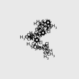 CC(C)Oc1cc(-n2nc(C(C)(C)C)oc2=O)c(Cl)cc1Cl.CC1COc2ccccc2N1C(=O)C(Cl)Cl.CCNc1nc(Cl)nc(NC(C)C)n1.CCc1cccc(C)c1N(C(=O)CCl)C(C)COC